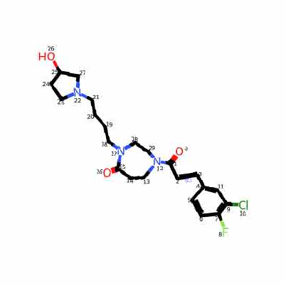 O=C(/C=C/c1ccc(F)c(Cl)c1)N1CCC(=O)N(CCCCN2CCC(O)C2)CC1